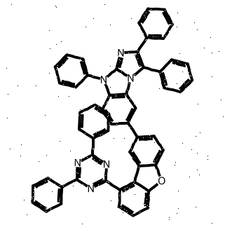 c1ccc(-c2nc(-c3ccccc3)nc(-c3cccc4oc5ccc(-c6ccc7c(c6)n6c(-c8ccccc8)c(-c8ccccc8)nc6n7-c6ccccc6)cc5c34)n2)cc1